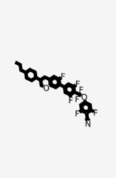 CCCC1CCC(C2COc3cc(-c4cc(F)c(C(F)(F)Oc5cc(F)c(C#N)c(F)c5)c(F)c4)c(F)cc3C2)CC1